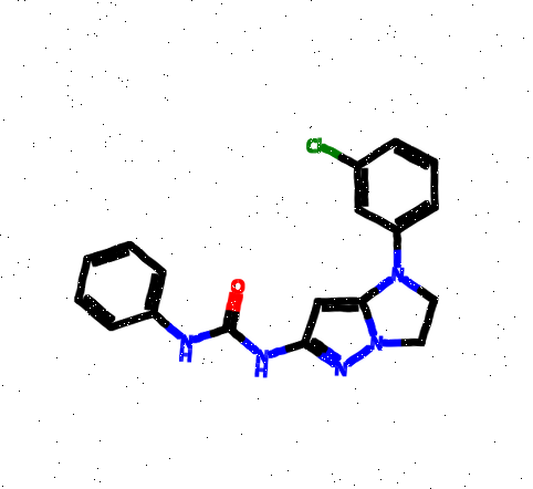 O=C(Nc1ccccc1)Nc1cc2n(n1)CCN2c1cccc(Cl)c1